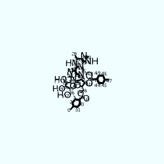 Cc1ccc(C(=O)OC[C@H]2O[C@H]([N+]3([C@@H]4O[C@H](CO)[C@@H](O)[C@H]4O)C=Nc4c(NC(C)c5c[nH]cn5)ncnc43)C[C@@H]2OC(=O)c2ccc(C)cc2)cc1